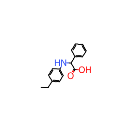 CCc1ccc(NC(C(=O)O)c2ccccc2)cc1